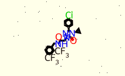 O=C(Cn1nc(-c2ccc(Cl)cc2)n(C2CC2)c1=O)NCc1cccc(C(F)(F)F)c1C(F)(F)F